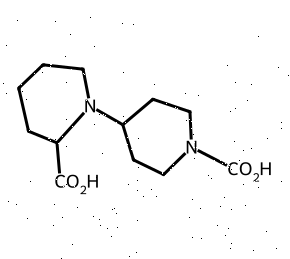 O=C(O)C1CCCCN1C1CCN(C(=O)O)CC1